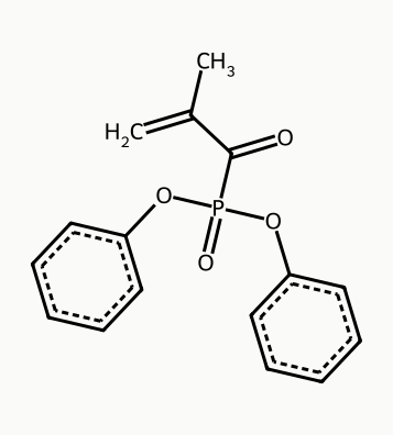 C=C(C)C(=O)P(=O)(Oc1ccccc1)Oc1ccccc1